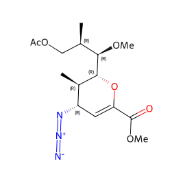 COC(=O)C1=C[C@H](N=[N+]=[N-])[C@@H](C)[C@H]([C@H](OC)[C@H](C)COC(C)=O)O1